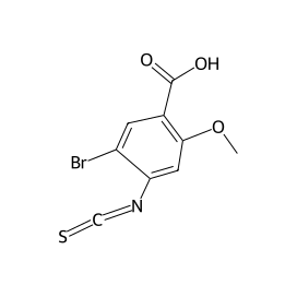 COc1cc(N=C=S)c(Br)cc1C(=O)O